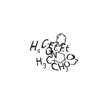 CCC1(CC)CC2(CC(C)(C)N1OC(C)c1ccccc1)OCCO2